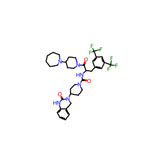 O=C(NC(Cc1cc(C(F)(F)F)cc(C(F)(F)F)c1)C(=O)N1CCC(N2CCCCCC2)CC1)N1CCC(N2Cc3ccccc3NC2=O)CC1